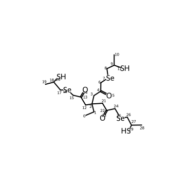 CCC(CC(=O)C[Se]CC(C)S)(CC(=O)C[Se]CC(C)S)CC(=O)C[Se]CC(C)S